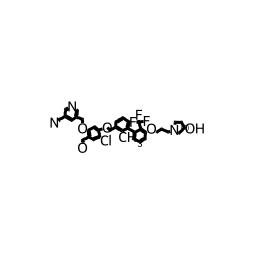 Cc1c(COc2cc(OCc3cncc(C#N)c3)c(C=O)cc2Cl)cccc1-c1cccc(OCCCN2CC[C@@H](O)C2)c1C(F)(F)F